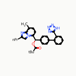 CCCc1cn2c([C@H](OC(=O)C(C)(C)C)c3ccc(-c4ccccc4-c4nnn[nH]4)cc3)ccc(C)c2n1